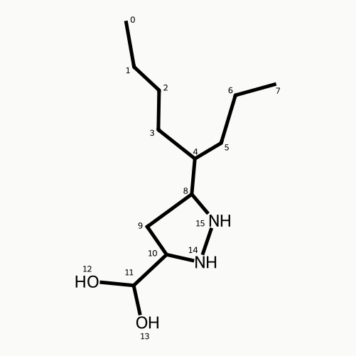 CCCCC(CCC)C1CC(C(O)O)NN1